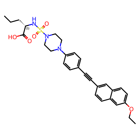 CCC[C@H](NS(=O)(=O)N1CCN(c2ccc(C#Cc3ccc4cc(OCC)ccc4c3)cc2)CC1)C(=O)O